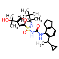 CC(c1ccc2c(c1NC(=O)NS(=O)(=N[Si](C)(C)C(C)(C)C)c1cc(C(C)(C)O)co1)CCC2)C1CC1